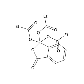 CCC(=O)OI1(OC(=O)CC)(OC(=O)CC)OC(=O)c2ccccc21